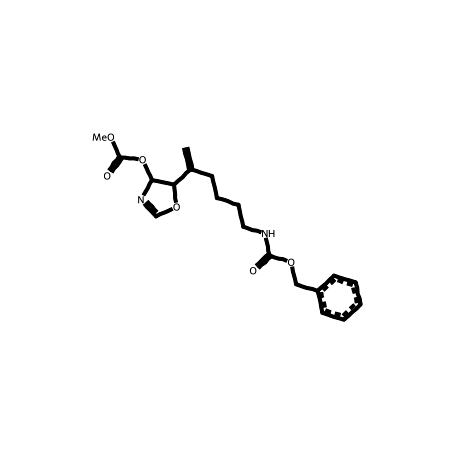 C=C(CCCCNC(=O)OCc1ccccc1)C1OC=NC1OC(=O)OC